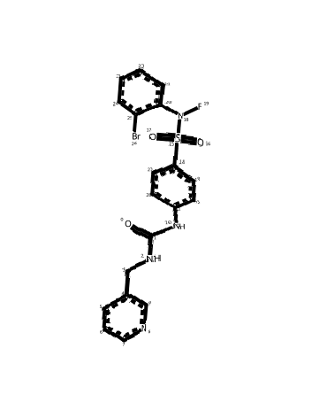 O=C(NCc1cccnc1)Nc1ccc(S(=O)(=O)N(F)c2ccccc2Br)cc1